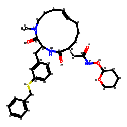 CN1CCC/C=C/CCC[C@H](CC(=O)NOC2CCCCO2)C(=O)N[C@@H](Cc2cccc(SCc3ccccc3)c2)C1=O